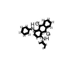 C/C=C(\C)Nc1ccc(Nc2ccccc2)c2c1C(=O)c1ccccc1C2=O